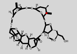 C=C1C[C@@H]2CC[C@@]34C[C@H]5O[C@H]6[C@@H](O3)[C@H]3O[C@H](CC[C@@H]3O[C@H]6[C@H]5O4)CC(=O)C[C@H]3C(C[C@H]4O[C@@H](CC[C@@H]1O2)C[C@@H](C)C4=C)O[C@H](C[C@H](O)CO)[C@@H]3OC